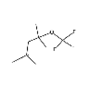 C[C](C)CC(C)(C)OC(F)(F)F